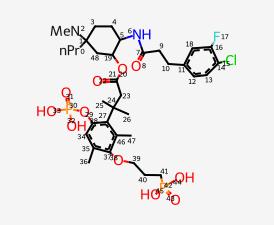 CCCC1(NC)CCC(NC(=O)CCc2ccc(Cl)c(F)c2)C(OC(=O)CC(C)(C)c2c(OP(=O)(O)O)cc(C)c(OCCCP(=O)(O)O)c2C)C1